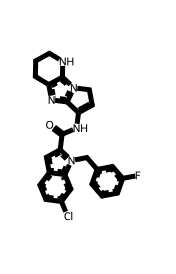 O=C(NC1=CCn2c1nc1c2NCCC1)c1cc2ccc(Cl)cc2n1Cc1cccc(F)c1